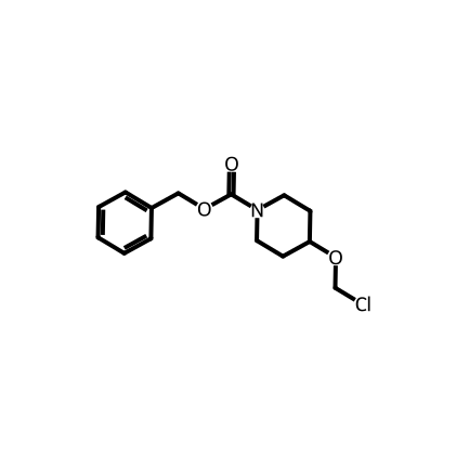 O=C(OCc1ccccc1)N1CCC(OCCl)CC1